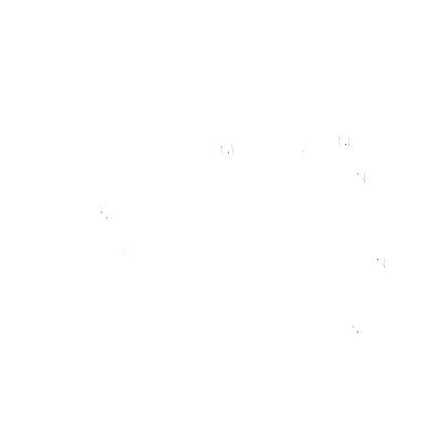 CCN(CC)Cc1c(C)[nH]c(C=C2C(=O)NN=C2c2ccncn2)c1C(C)C